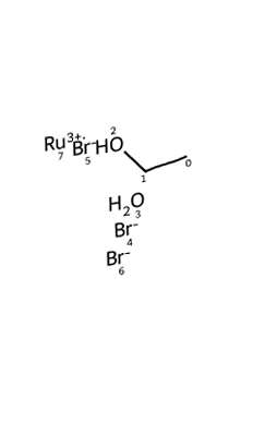 CCO.O.[Br-].[Br-].[Br-].[Ru+3]